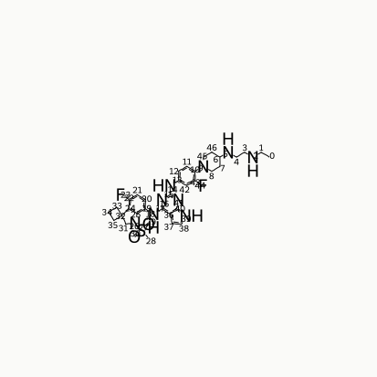 CCNCCNC1CCN(c2ccc(Nc3nc(Nc4ccc(F)c5c4N(S(C)(=O)=O)CC54CCC4)c4cc[nH]c4n3)cc2F)CC1